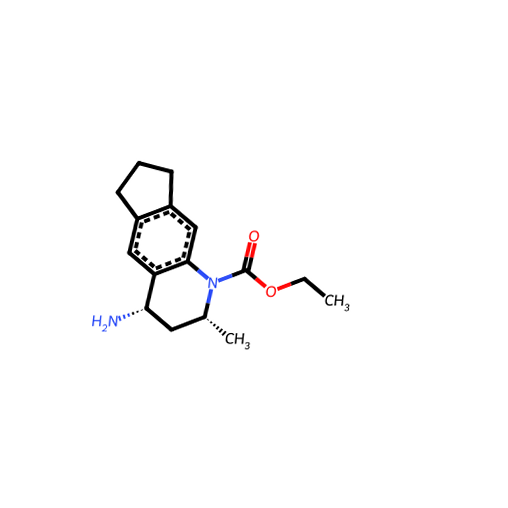 CCOC(=O)N1c2cc3c(cc2[C@@H](N)C[C@H]1C)CCC3